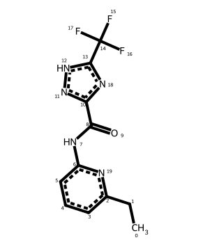 CCc1cccc(NC(=O)c2n[nH]c(C(F)(F)F)n2)n1